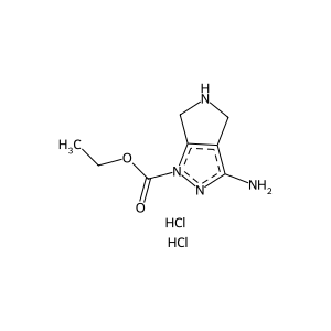 CCOC(=O)n1nc(N)c2c1CNC2.Cl.Cl